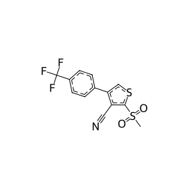 CS(=O)(=O)c1scc(-c2ccc(C(F)(F)F)cc2)c1C#N